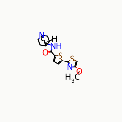 COc1csc(-c2ccc(C(=O)N[C@H]3CN4CCC3CC4)s2)n1